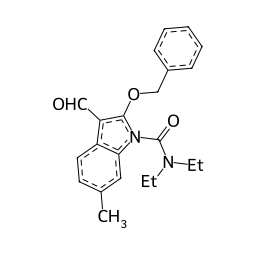 CCN(CC)C(=O)n1c(OCc2ccccc2)c(C=O)c2ccc(C)cc21